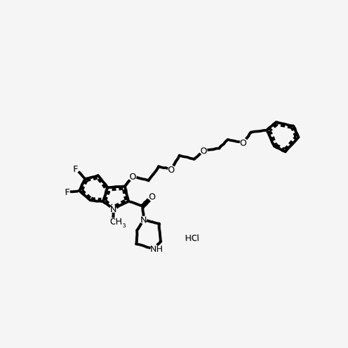 Cl.Cn1c(C(=O)N2CCNCC2)c(OCCOCCOCCOCc2ccccc2)c2cc(F)c(F)cc21